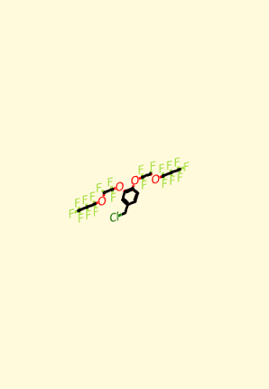 FC(OC(F)(F)C(F)(F)C(F)(F)F)C(F)(F)Oc1ccc(CCl)cc1OC(F)(F)C(F)OC(F)(F)C(F)(F)C(F)(F)F